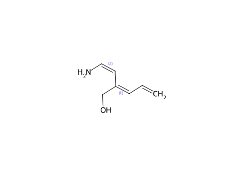 C=C/C=C(\C=C/N)CO